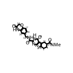 CNC(=O)C1CCc2sc3nc(C(=O)NCc4ccc5c(c4)NC(=O)CO5)[nH]c(=O)c3c2C1